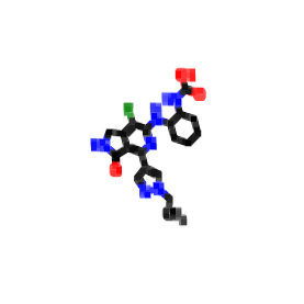 CCn1cc(-c2nc(NC3CCCCC3NC(=O)O)c(F)c3c2C(=O)NC3)cn1